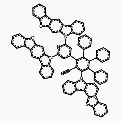 N#Cc1c(-c2cc(-n3c4ccccc4c4cc5c(cc43)oc3ccccc35)nc(-n3c4ccccc4c4cc5c(cc43)oc3ccccc35)c2)c(-c2ccccc2)c(-c2ccccc2)c(-c2ccccc2)c1-n1c2ccccc2c2c3sc4ccccc4c3ccc21